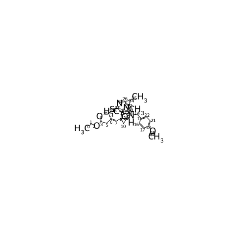 CCOC(=O)CC1=CC2(CC2)C2=C(NCc3ccc(OC)cc3)C3C(C)C3(N(C)C(C)=O)N=C2SC1